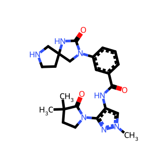 Cn1cc(NC(=O)c2cccc(N3CC4(CCNC4)NC3=O)c2)c(N2CCC(C)(C)C2=O)n1